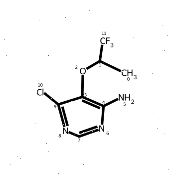 CC(Oc1c(N)ncnc1Cl)C(F)(F)F